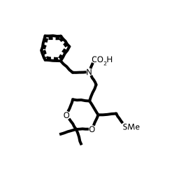 CSCC1OC(C)(C)OCC1CN(Cc1ccccc1)C(=O)O